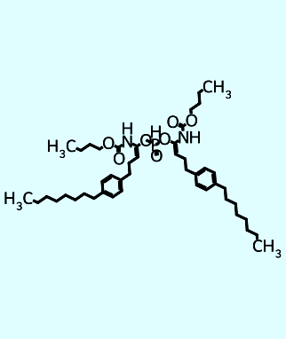 CCCCCCCCc1ccc(CC/C=C(\NC(=O)OCCCC)O[PH](=O)O/C(=C/CCc2ccc(CCCCCCCC)cc2)NC(=O)OCCCC)cc1